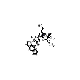 C=C=C(S/C(=C(\C)CCO)S(N)(=O)=NC(=O)Nc1c2c(nc3c1CCC3)CCC2)C(C)(C)O